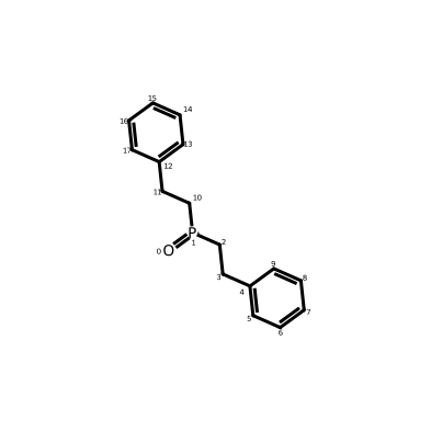 O=[P](CCc1ccccc1)CCc1ccccc1